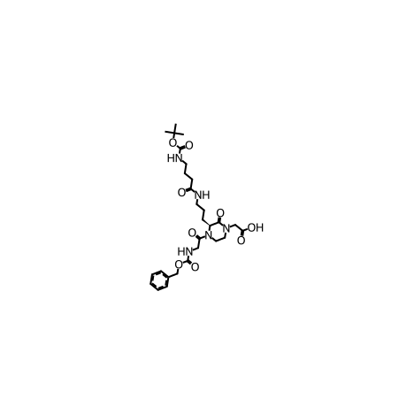 CC(C)(C)OC(=O)NCCCC(=O)NCCC[C@H]1C(=O)N(CC(=O)O)CCN1C(=O)CNC(=O)OCc1ccccc1